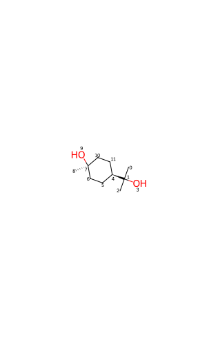 CC(C)(O)[C@H]1CC[C@@](C)(O)CC1